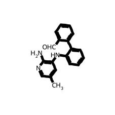 Cc1cnc(N)c(Nc2ccccc2-c2ccccc2C=O)c1